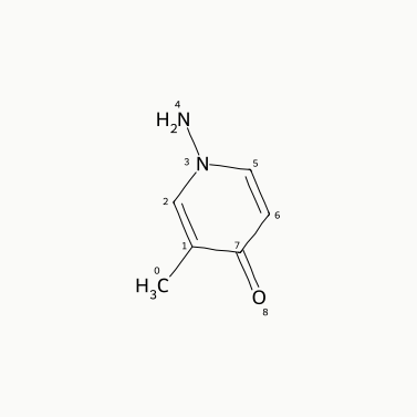 Cc1cn(N)ccc1=O